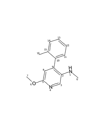 CNc1cnc(OC)cc1-c1ccccc1C